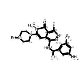 CCN1CCN(c2cc3c(NC(C)c4cc(N)cc(C(F)(F)F)c4)nnc(F)c3c(=O)n2C)CC1